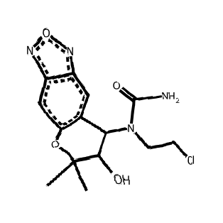 CC1(C)Oc2cc3nonc3cc2C(N(CCCl)C(N)=O)C1O